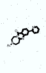 CC(=O)N1CCc2nc3cc(-c4ccccn4)ccc3c(=O)n2CC1